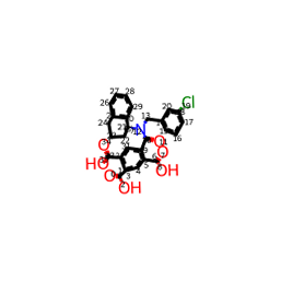 O=C(O)c1cc(C(=O)O)c(C(=O)N(Cc2cccc(Cl)c2)[C@H]2CCCc3ccccc32)cc1C(=O)O